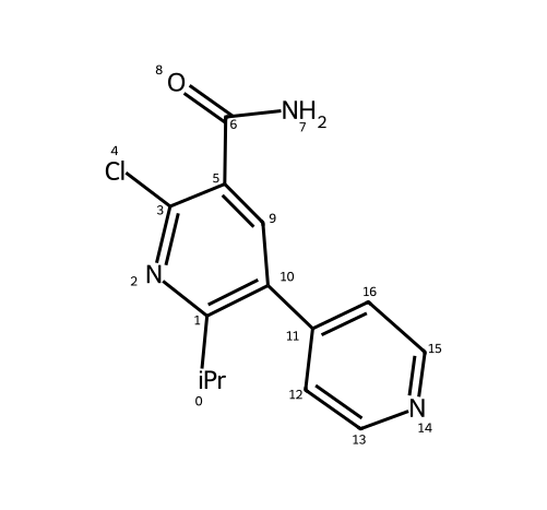 CC(C)c1nc(Cl)c(C(N)=O)cc1-c1ccncc1